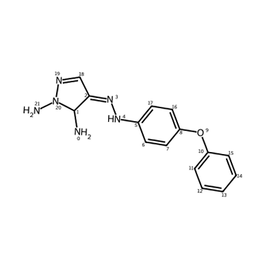 NC1C(=NNc2ccc(Oc3ccccc3)cc2)C=NN1N